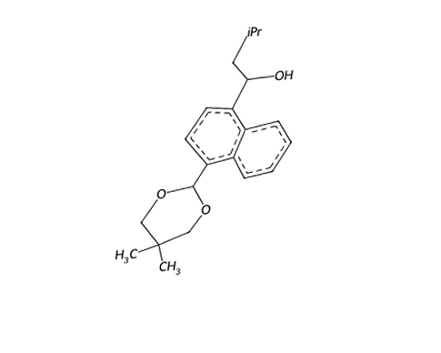 CC(C)CC(O)c1ccc(C2OCC(C)(C)CO2)c2ccccc12